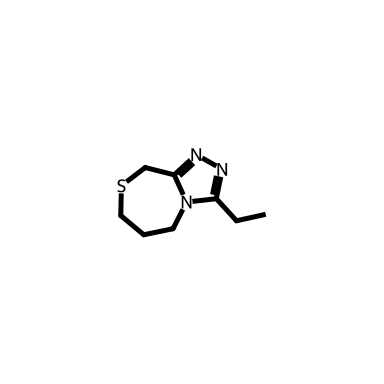 CCc1nnc2n1CCCSC2